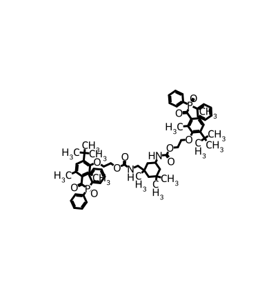 Cc1cc(C(C)(C)C)c(OCCOC(=O)NCC2(C)CC(NC(=O)OCCOc3c(C(C)(C)C)cc(C)c(C(=O)P(=O)(c4ccccc4)c4ccccc4)c3C)CC(C)(C)C2)c(C)c1C(=O)P(=O)(c1ccccc1)c1ccccc1